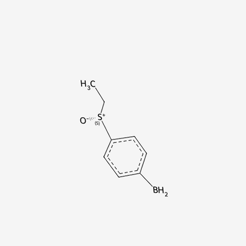 Bc1ccc([S@+]([O-])CC)cc1